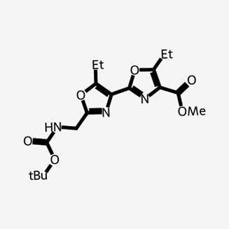 CCc1oc(-c2nc(CNC(=O)OC(C)(C)C)oc2CC)nc1C(=O)OC